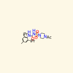 CC(=O)N1CCN(S(=O)(=O)NC(=O)Nc2c(C(C)C)cc(C)cc2C(C)C)CC1